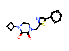 O=C1C(=O)N(C2CCC2)CCN1Cc1ncc(-c2ccccc2)s1